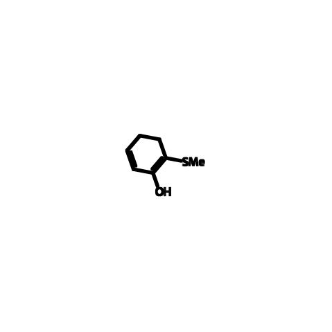 CSC1=C(O)C=CCC1